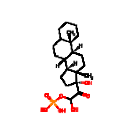 C[C@]12CCCCC1CC[C@@H]1[C@@H]2CC[C@@]2(C)[C@H]1CC[C@]2(O)C(=O)C(O)OP(=O)(O)O